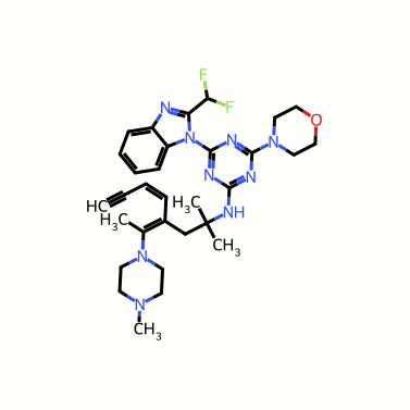 C#C/C=C\C(CC(C)(C)Nc1nc(N2CCOCC2)nc(-n2c(C(F)F)nc3ccccc32)n1)=C(/C)N1CCN(C)CC1